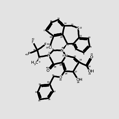 C[C@@H](N1CN([C@@H]2c3ccccc3SCc3cccc(Cl)c32)N2C=C(C(=O)O)C(O)C(OCc3ccccc3)=C2C1=O)C(F)(F)F